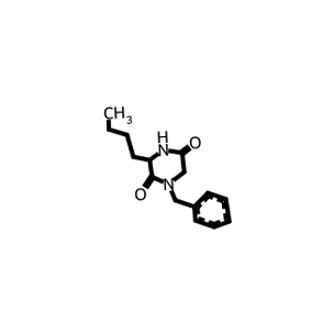 CCCCC1NC(=O)CN(Cc2ccccc2)C1=O